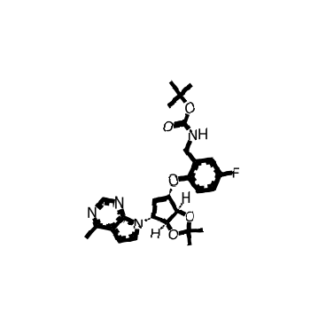 Cc1ncnc2c1ccn2[C@@H]1C[C@H](Oc2ccc(F)cc2CNC(=O)OC(C)(C)C)[C@H]2OC(C)(C)O[C@H]21